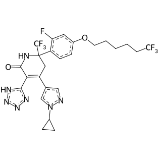 O=C1NC(c2ccc(OCCCCCC(F)(F)F)cc2F)(C(F)(F)F)CC(c2cnn(C3CC3)c2)=C1c1nnn[nH]1